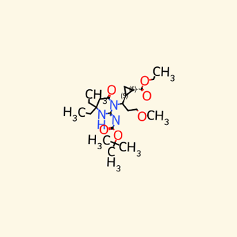 CCOC(=O)[C@H]1C[C@@H]1C(CCOC)N1C(=O)CC(CC)(CC)NC1=NC(=O)OC(C)(C)C